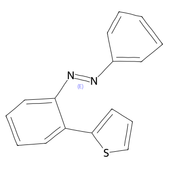 c1ccc(/N=N/c2ccccc2-c2cccs2)cc1